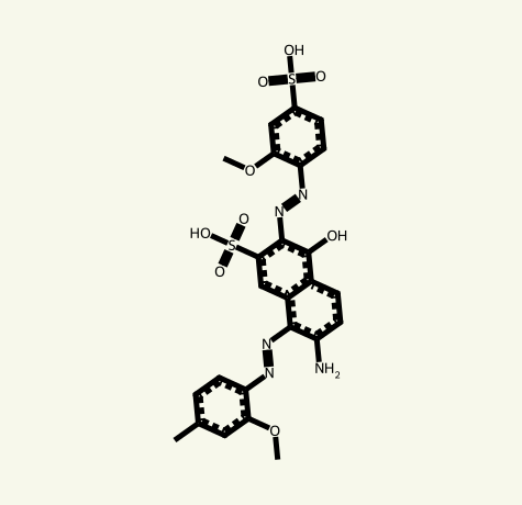 COc1cc(S(=O)(=O)O)ccc1N=Nc1c(S(=O)(=O)O)cc2c(/N=N/c3ccc(C)cc3OC)c(N)ccc2c1O